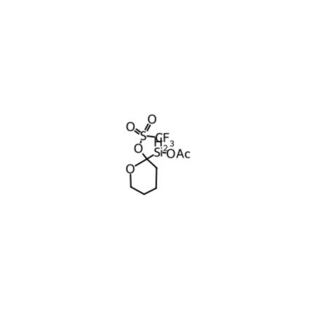 CC(=O)O[SiH2]C1(OS(=O)(=O)C(F)(F)F)CCCCO1